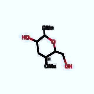 COC1OC(CO)[C@@H](OC)CC1O